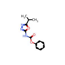 CC(C)c1nnc(NC(=O)Oc2ccccc2)o1